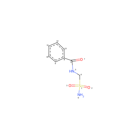 NS(=O)(=O)CNC(=O)c1ccccc1